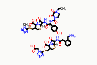 CCN1CCN(C(=O)N[C@@H](C(=O)N[C@@H]2C(=O)N3C(C(=O)O)=C(CSc4nnnn4C)CS[C@H]23)c2ccc(O)cc2)C(=O)C1=O.NCc1ccccc1CC(=O)N[C@@H]1C(=O)N2C(C(=O)O)=C(CSc3nnnn3CC(=O)O)CS[C@H]12